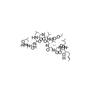 C/C=C/C[C@@H](C)[C@@H](O)C(C(=O)N[C@@H](CC)C(=O)N(C)CC(=O)N(C)[C@@H](CC(C)(C)OCOCC)C(=O)N[C@@H](C(=O)N(C)[C@@H](CC(C)C)C(=O)N[C@@H](C)C(=O)N[C@@H](C)C(=O)N(C)[C@@H](CC(C)C)C(=O)NC)C(C)C)N(C)C(=O)CC(C)C